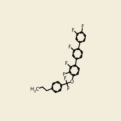 CCCc1ccc(C(F)(F)Oc2ccc(-c3ccc(-c4ccc(F)c(F)c4)c(F)c3)c(F)c2F)cc1